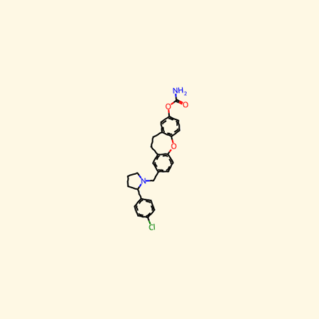 NC(=O)Oc1ccc2c(c1)CCc1cc(CN3CCCC3c3ccc(Cl)cc3)ccc1O2